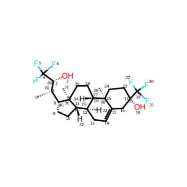 C[C@H]([C@@H](O)C(F)(F)F)[C@H]1CC[C@H]2[C@@H]3CC=C4C[C@](O)(C(F)(F)F)CC[C@]4(C)[C@H]3CC[C@]12C